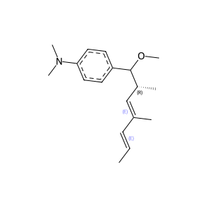 C/C=C/C(C)=C/[C@@H](C)C(OC)c1ccc(N(C)C)cc1